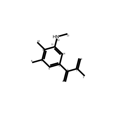 C=C(C)C(=C)c1cc(C)c(C)c(NC)c1